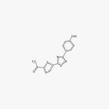 O=Cc1ccc(-c2noc(-c3ccc(C(=O)C(F)(F)F)s3)n2)cc1